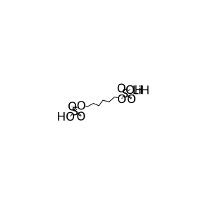 O=S(=O)(O)OCCCCCCOS(=O)(=O)O.[LiH]